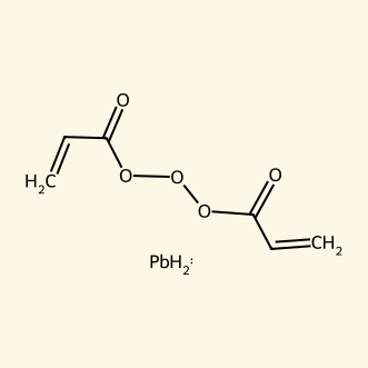 C=CC(=O)OOOC(=O)C=C.[PbH2]